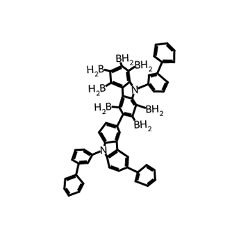 Bc1c(B)c(B)c2c(c1B)c1c(B)c(-c3ccc4c(c3)c3cc(-c5ccccc5)ccc3n4-c3cccc(-c4ccccc4)c3)c(B)c(B)c1n2-c1cccc(-c2ccccc2)c1